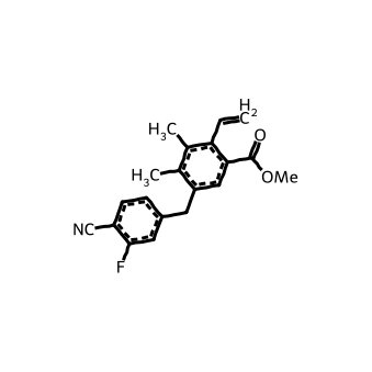 C=Cc1c(C(=O)OC)cc(Cc2ccc(C#N)c(F)c2)c(C)c1C